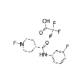 O=C(Nc1cccc(F)c1)C1CCN(F)CC1.O=C(O)C(F)(F)F